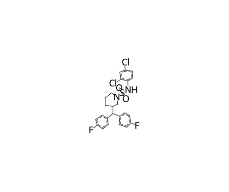 O=S(=O)(Nc1ccc(Cl)cc1Cl)N1CCCC(C(c2ccc(F)cc2)c2ccc(F)cc2)C1